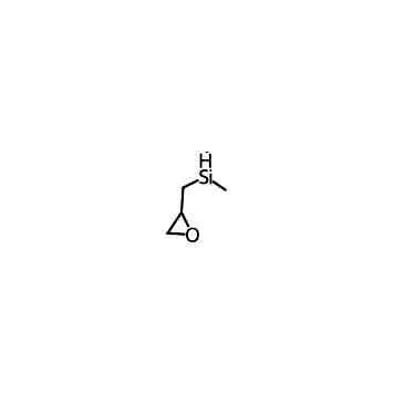 C[SiH](C)CC1CO1